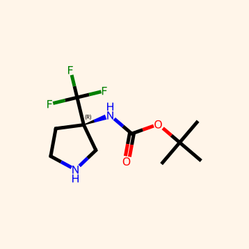 CC(C)(C)OC(=O)N[C@]1(C(F)(F)F)CCNC1